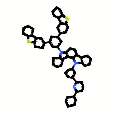 c1ccc(-c2cccc(-c3cccc(-n4c5ccccc5c5ccc6c(c7ccccc7n6-c6cc(-c7ccc8sc9ccccc9c8c7)cc(-c7ccc8sc9ccccc9c8c7)c6)c54)c3)n2)cc1